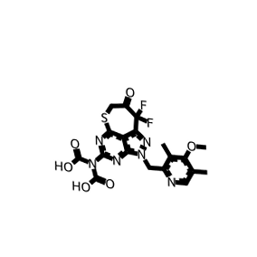 COc1c(C)cnc(Cn2nc3c4c(nc(N(C(=O)O)C(=O)O)nc42)SCC(=O)C3(F)F)c1C